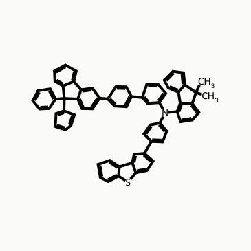 CC1(C)c2ccccc2-c2c(N(c3ccc(-c4ccc5sc6ccccc6c5c4)cc3)c3cccc(-c4ccc(-c5ccc6c(c5)-c5ccccc5C6(c5ccccc5)c5ccccc5)cc4)c3)cccc21